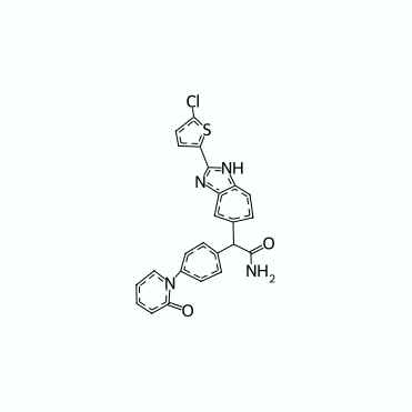 NC(=O)C(c1ccc(-n2ccccc2=O)cc1)c1ccc2[nH]c(-c3ccc(Cl)s3)nc2c1